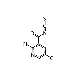 O=C(N=C=S)c1cc(Cl)cnc1Cl